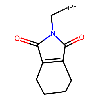 CC(C)CN1C(=O)C2=C(CCCC2)C1=O